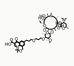 CC[C@H]1OC(=O)[C@H](C)[C@@H](O[C@H]2C[C@@](C)(OC)[C@@H](OCCCOCCCc3cc4c5c(c3)c(=O)c(C(=O)O)cn5C(C)(C)OC4)[C@H](C)O2)[C@H](C)[C@@H](O[C@@H]2O[C@H](C)C[C@H](N(C)C)[C@H]2O)[C@](C)(O)C[C@@H](C)CN(C)[C@H](C)[C@@H](O)[C@]1(C)O